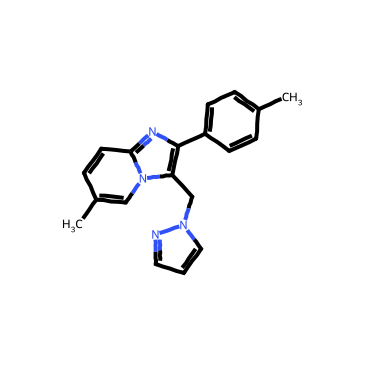 Cc1ccc(-c2nc3ccc(C)cn3c2Cn2cccn2)cc1